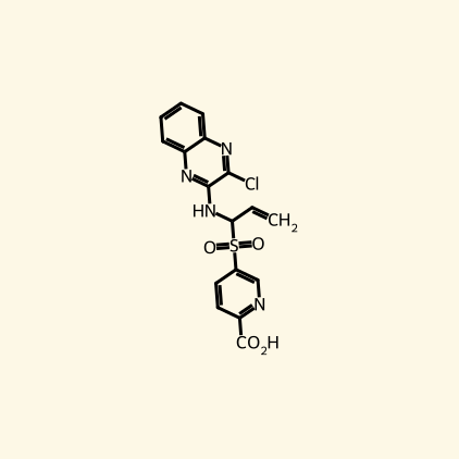 C=CC(Nc1nc2ccccc2nc1Cl)S(=O)(=O)c1ccc(C(=O)O)nc1